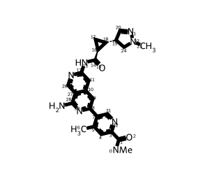 CNC(=O)c1cc(C)c(-c2cc3cc(NC(=O)[C@H]4C[C@@H]4C4C=NN(C)C4)ncc3c(N)n2)cn1